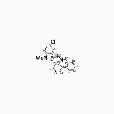 CNc1ccc(Cl)cc1/C(C)=N/N(Cc1ccccc1)c1ccccc1